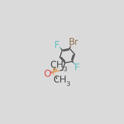 CP(C)(=O)Cc1cc(F)c(Br)cc1F